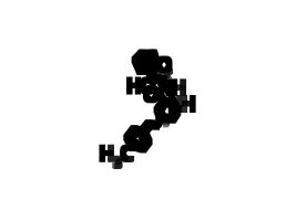 Cc1ccc(CC[C@@H]2CCN[C@H](C(=O)N[C@@H](CO)[C@@H](O)c3ccccc3)C2)cc1